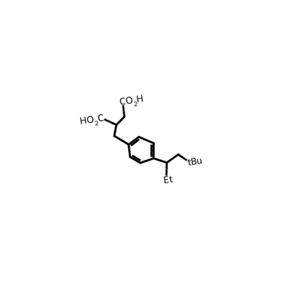 CCC(CC(C)(C)C)c1ccc(CC(CC(=O)O)C(=O)O)cc1